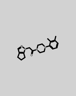 Cc1cccc(N2CCN(C(=O)Cn3ncc4c3CCC4)CC2)c1C